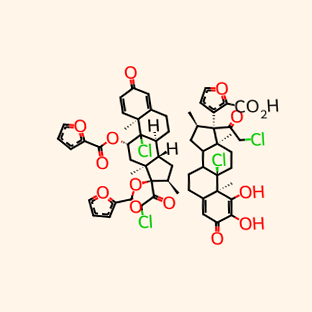 C[C@@H]1CC2C3CCC4=CC(=O)C(O)=C(O)[C@]4(C)[C@@]3(Cl)CC[C@]2(C)[C@@]1(C(=O)CCl)c1ccoc1C(=O)O.C[C@@H]1C[C@H]2[C@@H]3CCC4=CC(=O)C=C[C@]4(C)C3(Cl)[C@@H](OC(=O)c3ccco3)C[C@]2(C)[C@@]1(OC(=O)c1ccco1)C(=O)CCl